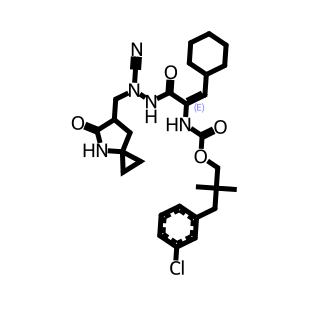 CC(C)(COC(=O)N/C(=C/C1CCCCC1)C(=O)NN(C#N)CC1CC2(CC2)NC1=O)Cc1cccc(Cl)c1